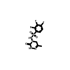 CC1=NNC(=O)N(NS(=O)(=O)c2ccc(F)c(F)c2F)C1